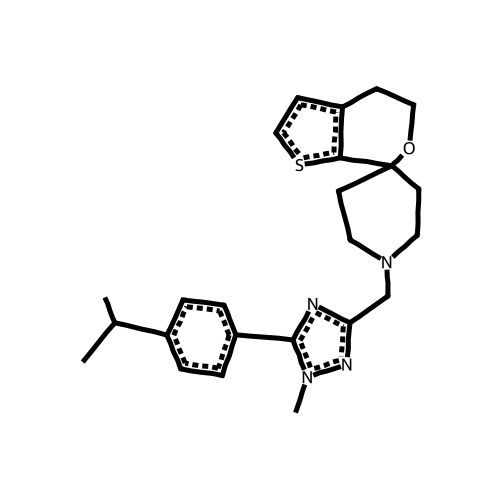 CC(C)c1ccc(-c2nc(CN3CCC4(CC3)OCCc3ccsc34)nn2C)cc1